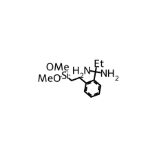 CCC(N)(N)c1ccccc1CC[Si](OC)OC